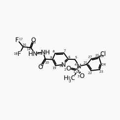 CS(=O)(=O)N(Cc1ccc(C(=O)NNC(=O)C(F)F)cn1)c1cccc(Cl)c1